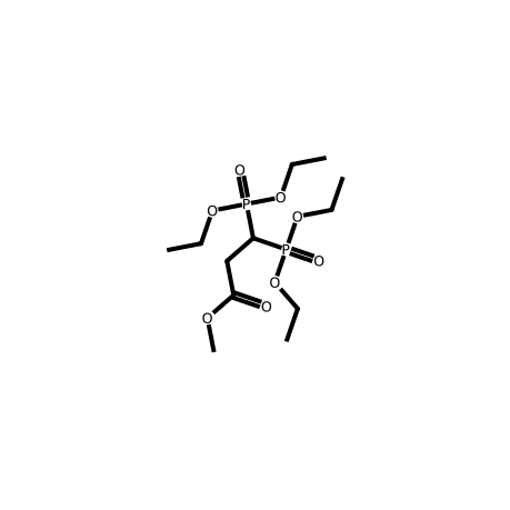 CCOP(=O)(OCC)C(CC(=O)OC)P(=O)(OCC)OCC